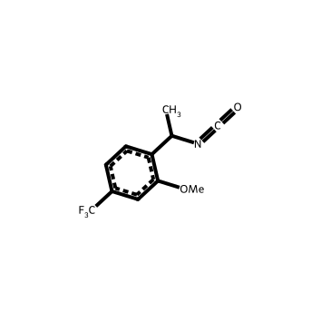 COc1cc(C(F)(F)F)ccc1C(C)N=C=O